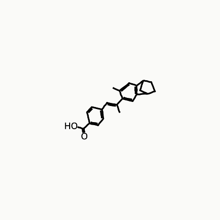 CC(=Cc1ccc(C(=O)O)cc1)c1cc2c(cc1C)C1CCC2C1